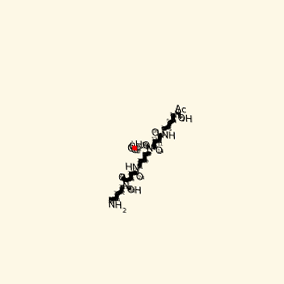 CC(=O)N(O)CCCCCNC(=O)CCC(=O)N(O)CCCCCNC(=O)CCC(=O)N(O)CCCCCN.[Cl-].[Cl-].[Co+2]